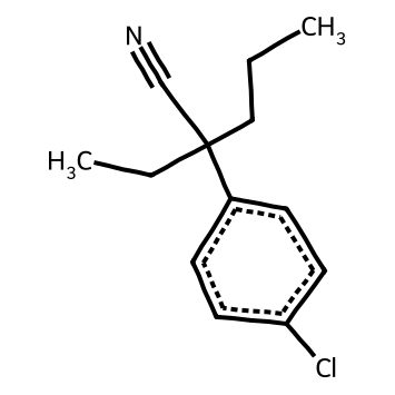 CCCC(C#N)(CC)c1ccc(Cl)cc1